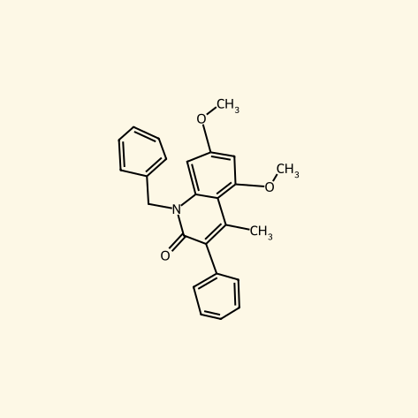 COc1cc(OC)c2c(C)c(-c3ccccc3)c(=O)n(Cc3ccccc3)c2c1